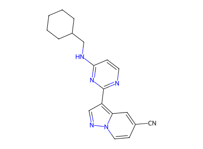 N#Cc1ccn2ncc(-c3nccc(NCC4CCCCC4)n3)c2c1